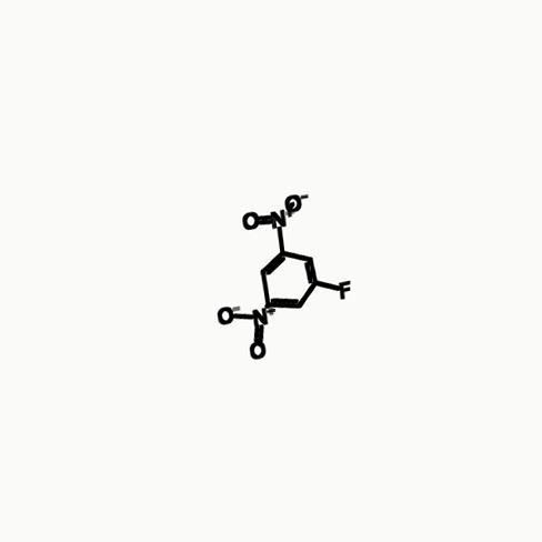 O=[N+]([O-])c1cc(F)cc([N+](=O)[O-])c1